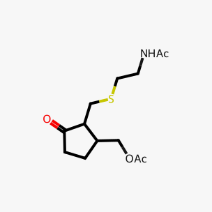 CC(=O)NCCSCC1C(=O)CCC1COC(C)=O